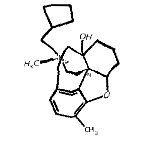 Cc1ccc2c3c1OC1CCCC4(O)C(C2)[N@@+](C)(CC2CCC2)CC[C@]314